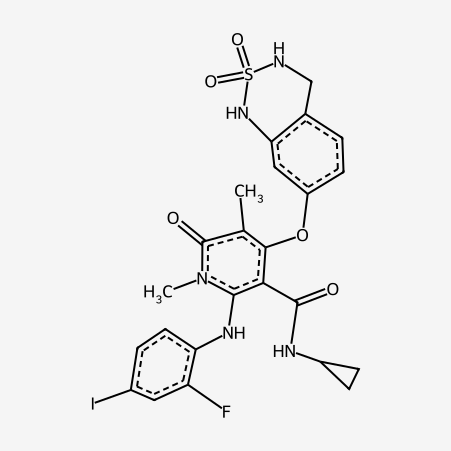 Cc1c(Oc2ccc3c(c2)NS(=O)(=O)NC3)c(C(=O)NC2CC2)c(Nc2ccc(I)cc2F)n(C)c1=O